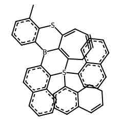 Cc1cccc2c1SC1=CC#CCC3=C1B2c1ccc2ccccc2c1S3(c1cccc2c1CCC=C2)c1cccc2ccccc12